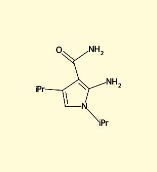 CC(C)c1cn(C(C)C)c(N)c1C(N)=O